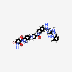 Cc1cccc(C)c1Nc1nn(C)c2nc(Nc3ccc4c(c3)CN(C(=O)C3CCN(c5ccc6c(=O)n(C7CCC(=O)NC7=O)nnc6c5)CC3)CC4)ncc12